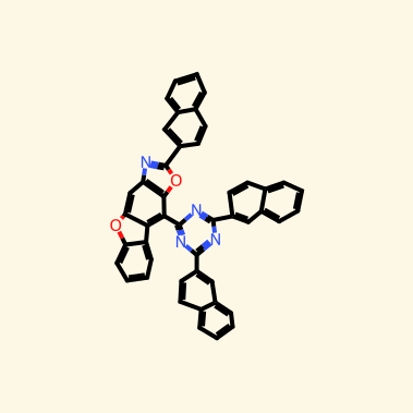 c1ccc2cc(-c3nc(-c4ccc5ccccc5c4)nc(-c4c5oc(-c6ccc7ccccc7c6)nc5cc5oc6ccccc6c45)n3)ccc2c1